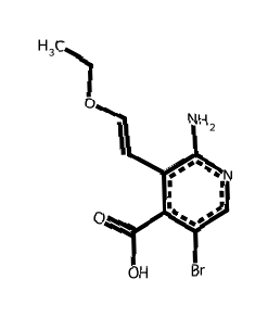 CCOC=Cc1c(N)ncc(Br)c1C(=O)O